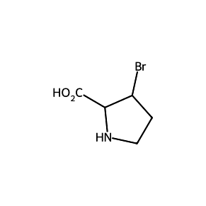 O=C(O)C1NCCC1Br